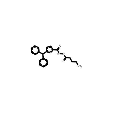 CCCCC(=O)ONC(=O)c1ccc(C(c2ccccc2)c2ccccc2)s1